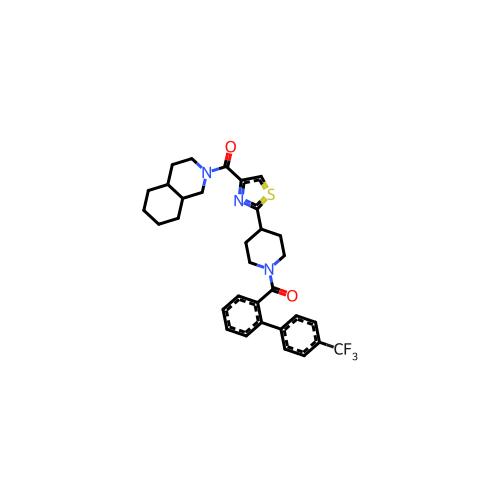 O=C(c1csc(C2CCN(C(=O)c3ccccc3-c3ccc(C(F)(F)F)cc3)CC2)n1)N1CCC2CCCCC2C1